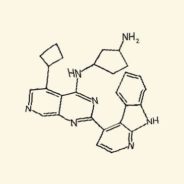 NC1CCC(Nc2nc(-c3ccnc4[nH]c5ccccc5c34)nc3cncc(C4CCC4)c23)C1